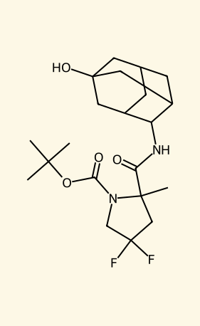 CC(C)(C)OC(=O)N1CC(F)(F)CC1(C)C(=O)NC1C2CC3CC1CC(O)(C3)C2